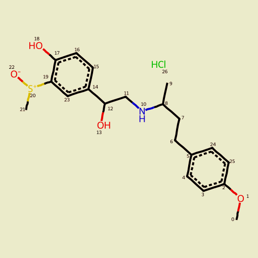 COc1ccc(CCC(C)NCC(O)c2ccc(O)c([S+](C)[O-])c2)cc1.Cl